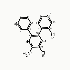 Nc1nc(-c2cccnc2)c(-c2ccncc2Cl)cc1Cl